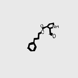 O=[C]C1NCCC1C(=O)OCCCc1ccccc1